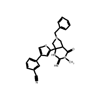 CN1C(=N)NC2(c3cc(-c4cccc(C#N)c4)cs3)CN(Cc3ccccc3)CC2C1=O